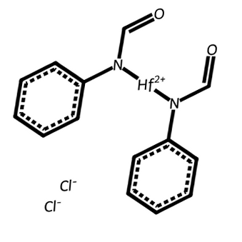 O=C[N]([Hf+2][N](C=O)c1ccccc1)c1ccccc1.[Cl-].[Cl-]